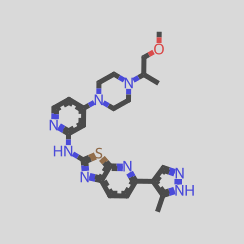 COCC(C)N1CCN(c2ccnc(Nc3nc4ccc(-c5cn[nH]c5C)nc4s3)c2)CC1